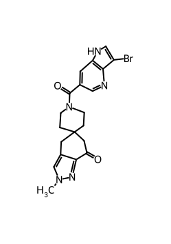 Cn1cc2c(n1)C(=O)CC1(CCN(C(=O)c3cnc4c(Br)c[nH]c4c3)CC1)C2